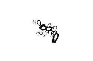 O=C(O)c1c(-c2nc3ccccc3s2)c(=O)oc2cc(O)ccc12